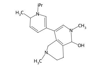 CC(C)N1C=C(C2=CN(C)C(O)C3=C2CN(C)CC3)C=CC1C